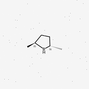 C[C@@H]1B[C@@H](C)CC1